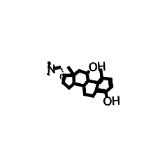 Cc1ccc(O)c2c1C1C(O)CC3(C)C(CC[C@@H]3CN(C)C)C1CC2